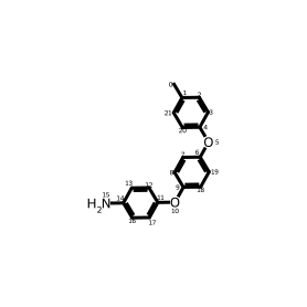 Cc1ccc(Oc2ccc(Oc3ccc(N)cc3)cc2)cc1